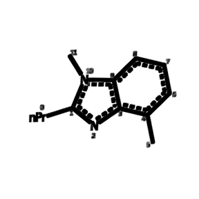 CCCc1nc2c(C)cccc2n1C